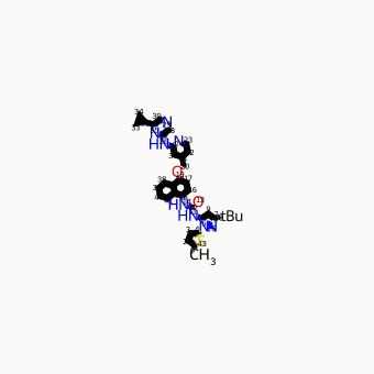 Cc1ccc(-n2nc(C(C)(C)C)cc2NC(=O)Nc2ccc(OCc3ccnc(Nc4cncc(C5CC5)n4)c3)c3ccccc23)s1